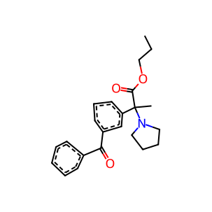 CCCOC(=O)C(C)(c1cccc(C(=O)c2ccccc2)c1)N1CCCC1